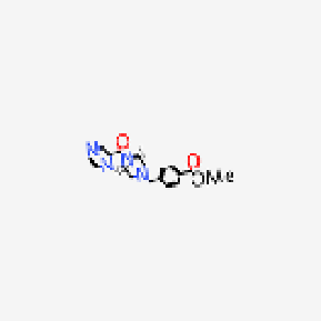 COC(=O)c1ccc(CN2C[C@@H](C)N(C(=O)c3cnccn3)[C@@H](C)C2)cc1